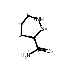 NC(=O)C1CCCNS1